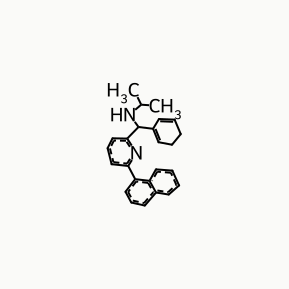 CC(C)NC(C1=CCCC=C1)c1cccc(-c2cccc3ccccc23)n1